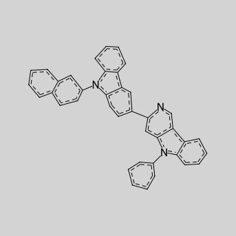 c1ccc(-n2c3ccccc3c3cnc(-c4ccc5c(c4)c4ccccc4n5-c4ccc5ccccc5c4)cc32)cc1